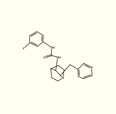 O=C(Nc1cccc(F)c1)NC1C2CCN(CC2)C1Cc1cccnc1